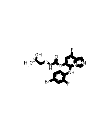 C[C@H](O)CONC(=O)Oc1cc(F)c2cncn2c1Nc1ccc(Br)cc1F